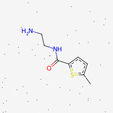 Cc1ccc(C(=O)NCCN)s1